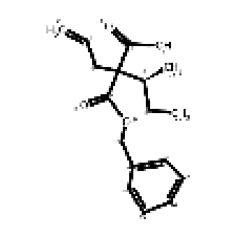 C=CCC(C(=O)O)(C(=O)OCc1ccccc1)[C@@H](C)CC